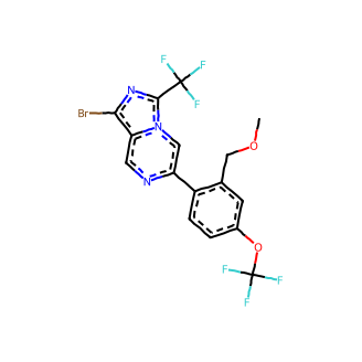 COCc1cc(OC(F)(F)F)ccc1-c1cn2c(C(F)(F)F)nc(Br)c2cn1